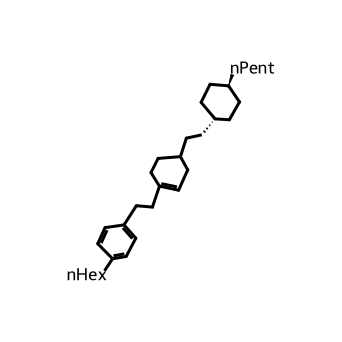 CCCCCCc1ccc(CCC2=CCC(CC[C@H]3CC[C@H](CCCCC)CC3)CC2)cc1